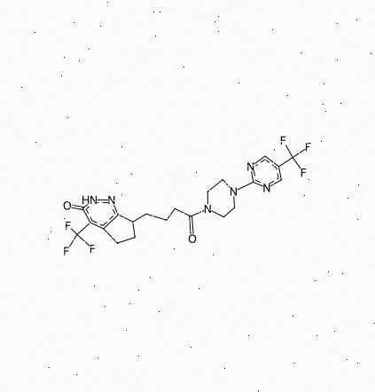 O=C(CCCC1CCc2c1n[nH]c(=O)c2C(F)(F)F)N1CCN(c2ncc(C(F)(F)F)cn2)CC1